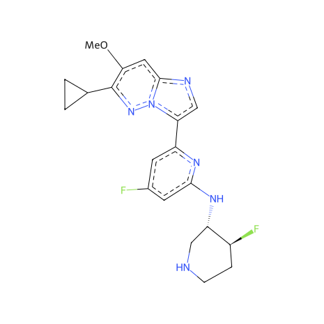 COc1cc2ncc(-c3cc(F)cc(N[C@H]4CNCC[C@@H]4F)n3)n2nc1C1CC1